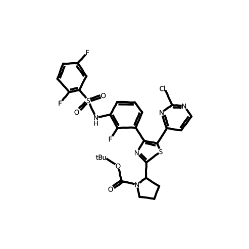 CC(C)(C)OC(=O)N1CCCC1c1nc(-c2cccc(NS(=O)(=O)c3cc(F)ccc3F)c2F)c(-c2ccnc(Cl)n2)s1